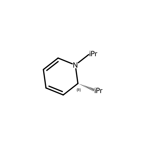 CC(C)[C@@H]1C=CC=CN1C(C)C